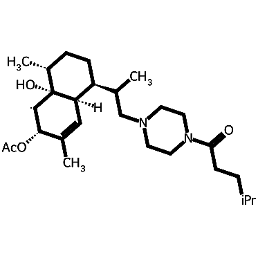 CC(=O)O[C@@H]1[CH][C@@]2(O)[C@H](C)CC[C@@H](C(C)CN3CCN(C(=O)CCC(C)C)CC3)[C@H]2C=C1C